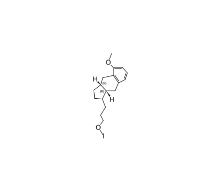 COc1cccc2c1C[C@H]1CCC(CCCOI)[C@H]1C2